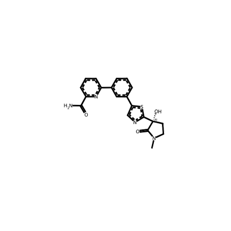 CN1CC[C@](O)(c2ncc(-c3cccc(-c4cccc(C(N)=O)n4)c3)s2)C1=O